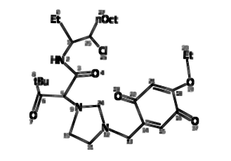 [CH2]CC(NC(=O)C(C(=O)C(C)(C)C)N1CCN(CC2=CC(=O)C(OCC)=CC2=O)C1)C(Cl)CCCCCCCC